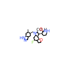 Cc1cc2[nH]ncc2cc1Cn1c(C(=O)O)c(-c2ccc[nH]c2=O)c2c3occc3c(F)cc21